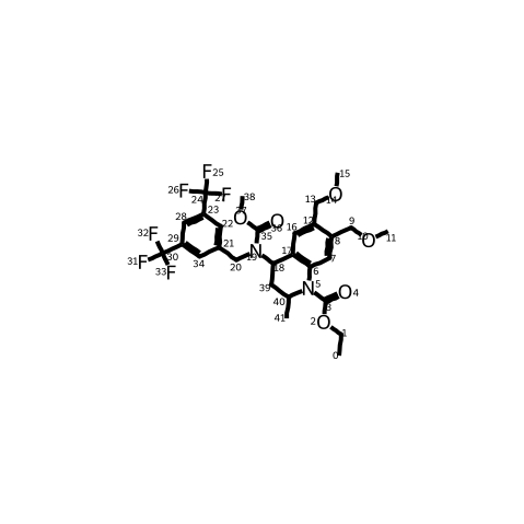 CCOC(=O)N1c2cc(COC)c(COC)cc2C(N(Cc2cc(C(F)(F)F)cc(C(F)(F)F)c2)C(=O)OC)CC1C